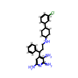 Nc1cc(C(CCNC2CCC(C3C=C(Cl)C=CC3)CC2)c2ccccc2)c(N)c(N)n1